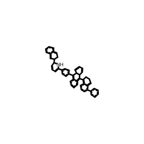 C1=CC(C2C=c3ccccc3=CC2)NC(c2ccc(C3=c4ccccc4=C(C4=c5cccc(-c6ccccc6)c5=CCC4)C4C=CC=CC34)cc2)=C1